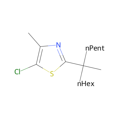 CCCCCCC(C)(CCCCC)c1nc(C)c(Cl)s1